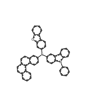 c1ccc(-n2c3ccccc3c3cc(N(c4ccc5c(ccc6ccc7ccccc7c65)c4)c4ccc5c(c4)oc4ccccc45)ccc32)cc1